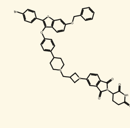 O=C1CCC(N2C(=O)c3ccc(N4CC(CN5CCC(c6ccc(Oc7c(-c8ccc(Br)cc8)sc8cc(OCc9ccccc9)ccc78)cc6)CC5)C4)cc3C2=O)C(=O)N1